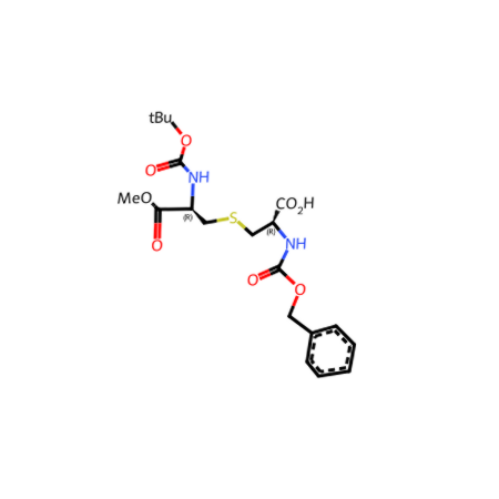 COC(=O)[C@H](CSC[C@H](NC(=O)OCc1ccccc1)C(=O)O)NC(=O)OC(C)(C)C